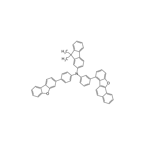 CC1(C)c2ccccc2-c2ccc(N(c3ccc(-c4ccc5c(c4)oc4ccccc45)cc3)c3cccc(-c4cccc5oc6c7ccccc7ccc6c45)c3)cc21